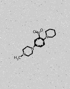 CN1CCN(c2ccc(N3CCCCC3)c([N+](=O)[O-])c2)CC1